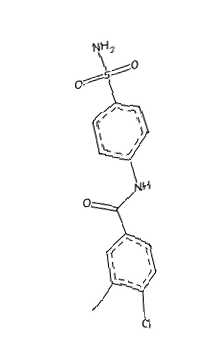 Cc1cc(C(=O)Nc2ccc(S(N)(=O)=O)cc2)ccc1Cl